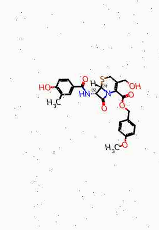 COc1ccc(COC(=O)C2=C(CO)CS[C@H]3[C@@H](NC(=O)c4ccc(O)c(C)c4)C(=O)N23)cc1